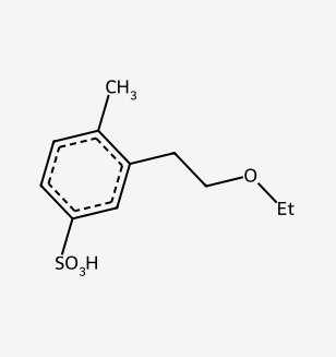 CCOCCc1cc(S(=O)(=O)O)ccc1C